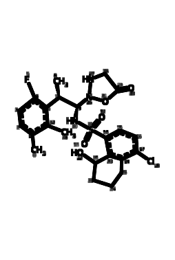 Cc1ccc(F)c([C@@H](C)[C@H](NS(=O)(=O)c2ccc(Cl)c3c2C(O)CCC3)N2NCC(=O)O2)c1C